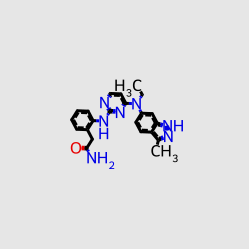 CCN(c1ccc2c(C)n[nH]c2c1)c1ccnc(Nc2ccccc2CC(N)=O)n1